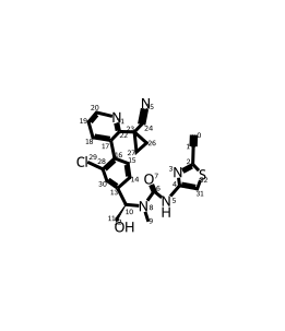 C#Cc1nc(NC(=O)N(C)[C@@H](CO)c2ccc(-c3cccnc3C3(C#N)CC3)c(Cl)c2)cs1